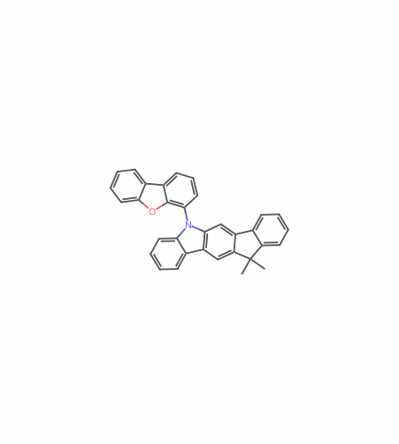 CC1(C)c2ccccc2-c2cc3c(cc21)c1ccccc1n3-c1cccc2c1oc1ccccc12